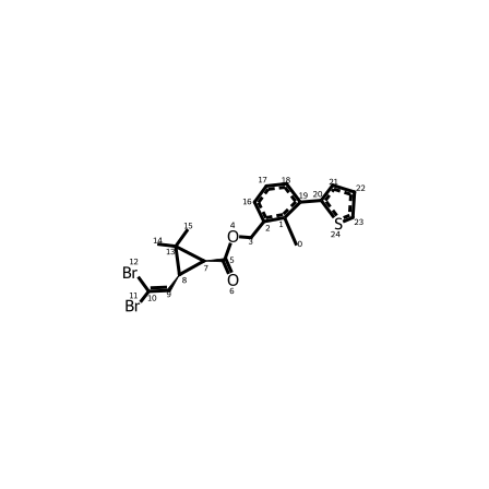 Cc1c(COC(=O)[C@H]2[C@@H](C=C(Br)Br)C2(C)C)cccc1-c1cccs1